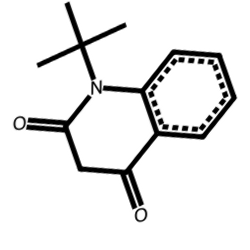 CC(C)(C)N1C(=O)CC(=O)c2ccccc21